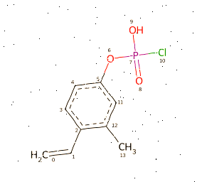 C=Cc1ccc(OP(=O)(O)Cl)cc1C